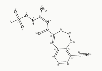 CS(=O)(=O)ONC(N)=NC(=O)C1=Cc2cccc(C#N)c2OCC1